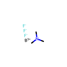 CN(C)C.[B+3].[F-].[F-].[F-]